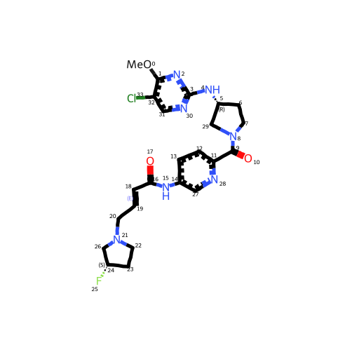 COc1nc(N[C@@H]2CCN(C(=O)c3ccc(NC(=O)/C=C/CN4CC[C@H](F)C4)cn3)C2)ncc1Cl